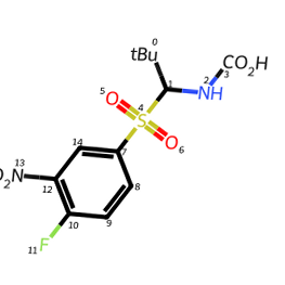 CC(C)(C)C(NC(=O)O)S(=O)(=O)c1ccc(F)c([N+](=O)[O-])c1